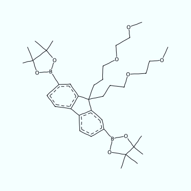 COCCOCCCC1(CCCOCCOC)c2cc(B3OC(C)(C)C(C)(C)O3)ccc2-c2ccc(B3OC(C)(C)C(C)(C)O3)cc21